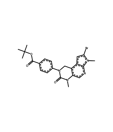 CN1C(=O)N(c2ccc(C(=O)OC(C)(C)C)cc2)Cc2c1cnc1c2cc(Br)n1C